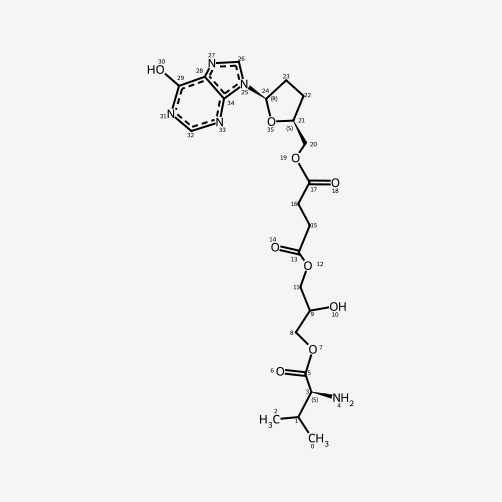 CC(C)[C@H](N)C(=O)OCC(O)COC(=O)CCC(=O)OC[C@@H]1CC[C@H](n2cnc3c(O)ncnc32)O1